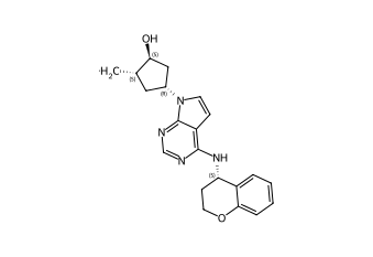 [CH2][C@H]1C[C@@H](n2ccc3c(N[C@H]4CCOc5ccccc54)ncnc32)C[C@@H]1O